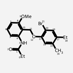 CCC(=O)Nc1cccc(OC)c1COc1cc(C)c(CC)cc1Br